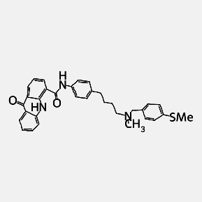 CSc1ccc(CN(C)CCCCc2ccc(NC(=O)c3cccc4c(=O)c5ccccc5[nH]c34)cc2)cc1